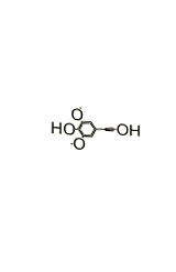 COc1cc(C#CO)cc(OC)c1O